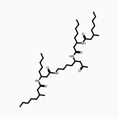 CCCCCC(C)CC(=O)NC(CCCCC)CC(=O)NCCCCC(CC(C)=O)NC(=O)CC(CCCCC)NC(=O)CC(C)CCCCC